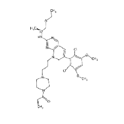 C=CC(=O)N1CCN(CCCN2CC(c3c(Cl)c(OC)cc(OC)c3Cl)=Cc3cnc(N[C@@H](C)COCC)nc32)CC1